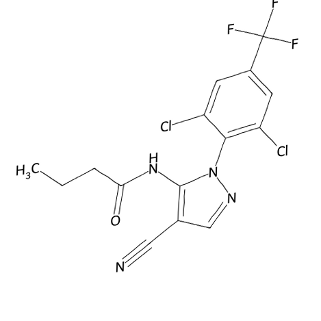 CCCC(=O)Nc1c(C#N)cnn1-c1c(Cl)cc(C(F)(F)F)cc1Cl